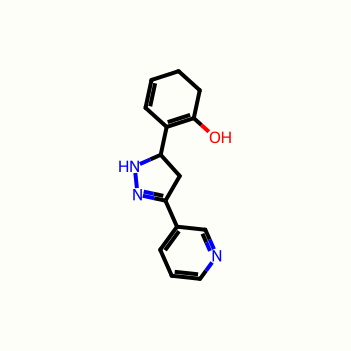 OC1=C(C2CC(c3cccnc3)=NN2)C=CCC1